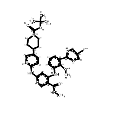 CNC(=O)c1cnc(Nc2ccc(C3CCN(C(=O)OC(C)(C)C)CC3)cn2)cc1Nc1cccc(-c2ncc(F)cn2)c1OC